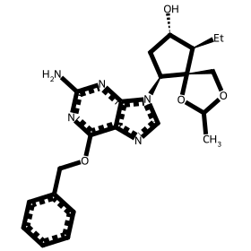 CC[C@@H]1[C@@H](O)C[C@H](n2cnc3c(OCc4ccccc4)nc(N)nc32)[C@]12COC(C)O2